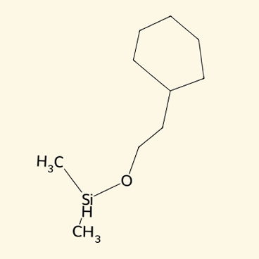 C[SiH](C)OCCC1CCCCC1